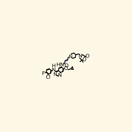 CC1(C)CN(CC2CCN(C/C=C/C(=O)Nc3cc4c(Nc5ccc(F)c(Cl)c5)ncnc4cc3OCC3CC3)CC2)CC(=O)O1